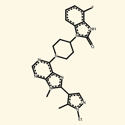 CCn1ncc(-c2nc3c(N4CCC(n5c(=O)[nH]c6c(F)cccc65)CC4)ncnc3n2C)c1C